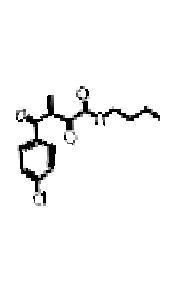 CCCCOC(=O)C(=O)C(C)C(=O)c1ccc(Cl)cc1